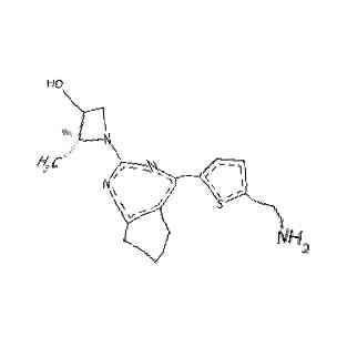 C[C@@H]1C(O)CN1c1nc2c(c(-c3ccc(CN)s3)n1)CCC2